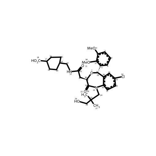 COc1cccc([C@H]2O[C@H](CC(=O)NCC3CCC(C(=O)O)CC3)C(=O)N(CC(C)(C)CO)c3ccc(Cl)cc32)c1OC